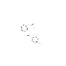 COc1cc(C(=O)N2CCC(=O)Nc3ccccc32)ccc1[N+](=O)[O-]